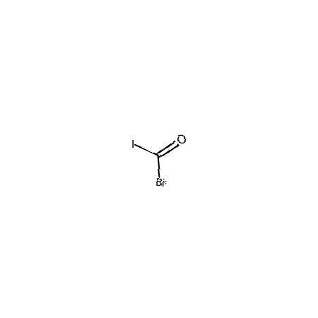 O=[C](I)[Bi]